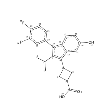 CC(C)c1c(C2CC(C(=O)O)C2)c2cc(O)ccc2n1-c1ccc(F)c(F)c1